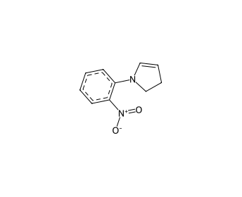 O=[N+]([O-])c1ccccc1N1C=CCC1